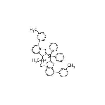 Cc1cccc(-c2cccc3c2C=C2[CH]3[Hf]([CH3])([CH3])[CH]3C(=Cc4c(-c5cccc(C)c5)cccc43)[Si]2(c2ccccc2)c2ccccc2)c1